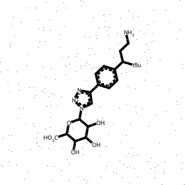 CC(C)(C)C(CCN)c1ccc(-c2cn(C3OC(C(=O)O)C(O)C(O)C3O)nn2)cc1